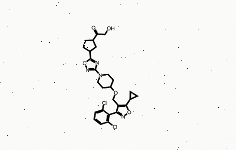 O=C(CO)C1CCC(c2nc(N3CCC(OCc4c(-c5c(Cl)cccc5Cl)noc4C4CC4)CC3)no2)C1